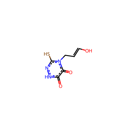 O=c1[nH]nc(S)n(CC=CO)c1=O